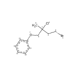 CC(Cl)(CCBr)COc1ccccc1